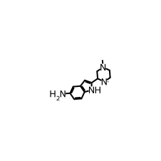 CN1CC[N]C(c2cc3cc(N)ccc3[nH]2)C1